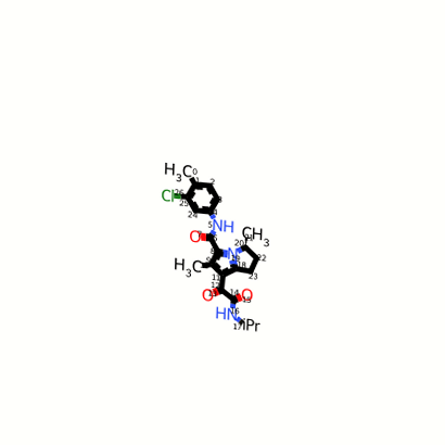 Cc1ccc(NC(=O)c2c(C)c(C(=O)C(=O)NC(C)C)c3n2[C@H](C)CC3)cc1Cl